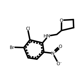 O=[N+]([O-])c1ccc(Br)c(Cl)c1NCC1CCO1